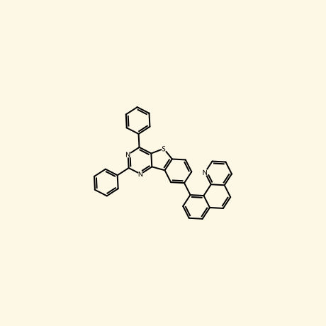 c1ccc(-c2nc(-c3ccccc3)c3sc4ccc(-c5cccc6ccc7cccnc7c56)cc4c3n2)cc1